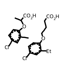 CCc1cc(Cl)ccc1OCCCC(=O)O.Cc1cc(Cl)ccc1OC(C)C(=O)O